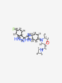 CC1COC(CN2CCC2)CN1c1ccc2nc(-c3n[nH]c4cc(F)ccc34)[nH]c2c1